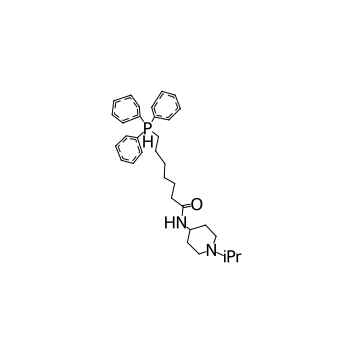 CC(C)N1CCC(NC(=O)CCCCCC[PH](c2ccccc2)(c2ccccc2)c2ccccc2)CC1